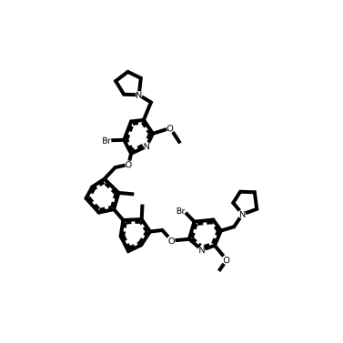 COc1nc(OCc2cccc(-c3cccc(COc4nc(OC)c(CN5CCCC5)cc4Br)c3C)c2C)c(Br)cc1CN1CCCC1